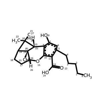 CCCCCc1cc(O)c2c(c1C(=O)O)O[C@@H]1CCC3C(C)(C)[C@H]2[C@@]31C